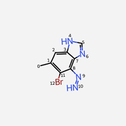 Cc1cc2[nH]cnc2c(N=N)c1Br